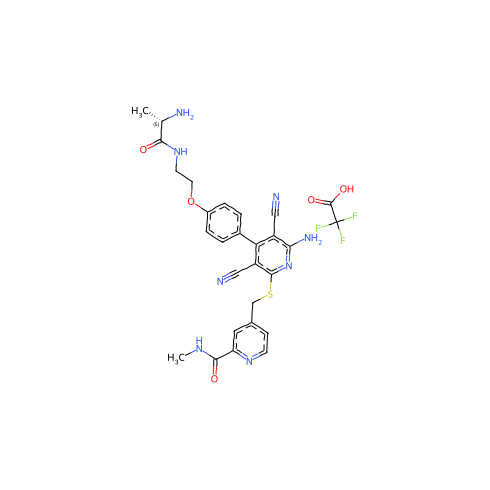 CNC(=O)c1cc(CSc2nc(N)c(C#N)c(-c3ccc(OCCNC(=O)[C@H](C)N)cc3)c2C#N)ccn1.O=C(O)C(F)(F)F